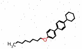 CCCCCCCCOc1ccc(-c2ccc(C3CCCCC3)cc2)cc1